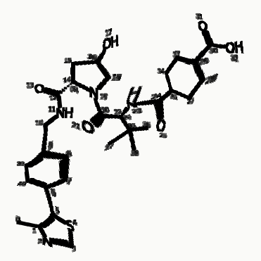 Cc1ncsc1-c1ccc(CNC(=O)[C@@H]2CC(O)CN2C(=O)[C@@H](NC(=O)C2CCC(C(=O)O)CC2)C(C)(C)C)cc1